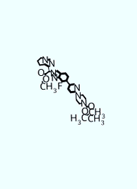 CCOC(=O)[C@@H](c1ncn2c1CCC2)n1cc2ccc(-c3ccc(N4CCN(C(=O)OC(C)(C)C)CC4)nc3)c(F)c2n1